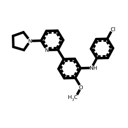 COc1ccc(-c2cccc(N3CCCC3)n2)cc1Nc1ccc(Cl)cc1